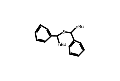 CCCCC(SC(CCCC)c1ccccc1)c1ccccc1